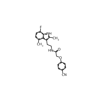 Cc1[nH]c2c(F)ccc(C)c2c1CCNC(=O)COc1ccc(C#N)cc1